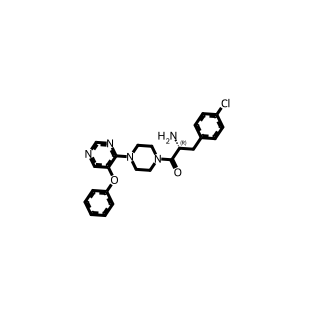 N[C@H](Cc1ccc(Cl)cc1)C(=O)N1CCN(c2ncncc2Oc2ccccc2)CC1